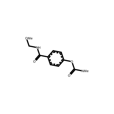 CNC(=O)Oc1ccc(C(=O)NCOC)cc1